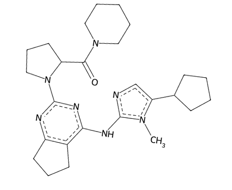 Cn1c(C2CCCC2)cnc1Nc1nc(N2CCCC2C(=O)N2CCCCC2)nc2c1CCC2